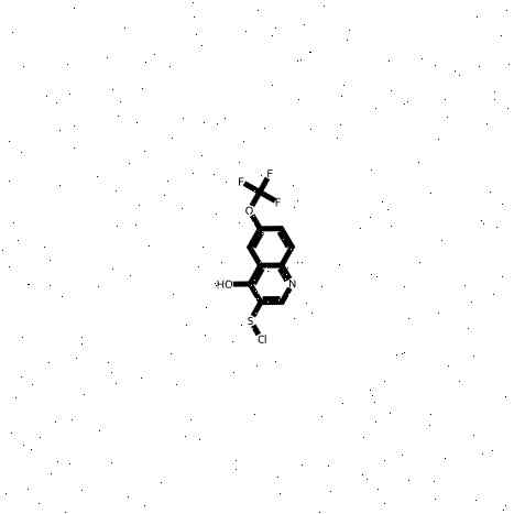 Oc1c(SCl)cnc2ccc(OC(F)(F)F)cc12